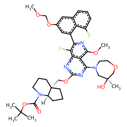 COCOc1cc(-c2nc(OC)c3c(N4CCOC[C@@](C)(O)C4)nc(OC[C@]45CCC[C@H]4N(C(=O)OC(C)(C)C)CCC5)nc3c2F)c2c(F)cccc2c1